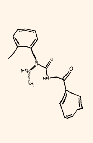 Cc1ccccc1N(NN)C(=O)NC(=O)c1ccccc1